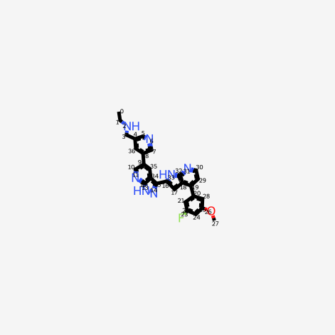 CCNCc1cncc(-c2cnc3[nH]nc(-c4cc5c(-c6cc(F)cc(OC)c6)ccnc5[nH]4)c3c2)c1